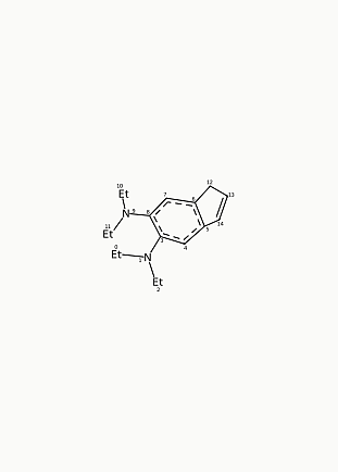 CCN(CC)c1cc2c(cc1N(CC)CC)CC=C2